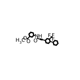 COC(=O)c1cccc(NC(=O)C#Cc2ccc(-c3ccccc3)c(C(F)(F)F)c2)c1